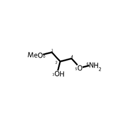 COCC(O)CON